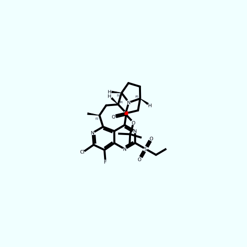 CCS(=O)(=O)c1nc2c3c(nc(Cl)c(F)c3n1)[C@@H](C)C[C@@H]1[C@@H]3CC[C@H](CN21)N3C(=O)OC(C)(C)C